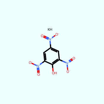 O=[N+]([O-])c1cc([N+](=O)[O-])c(O)c([N+](=O)[O-])c1.[KH]